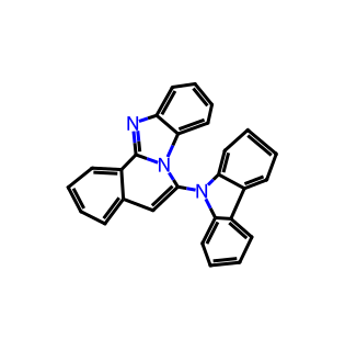 c1ccc2c(c1)cc(-n1c3ccccc3c3ccccc31)n1c3ccccc3nc21